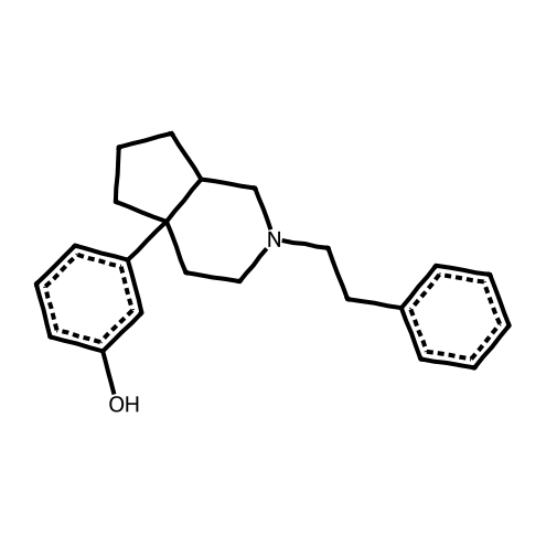 Oc1cccc(C23CCCC2CN(CCc2ccccc2)CC3)c1